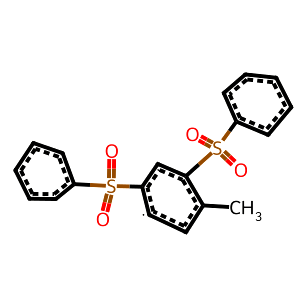 Cc1c[c]c(S(=O)(=O)c2ccccc2)cc1S(=O)(=O)c1ccccc1